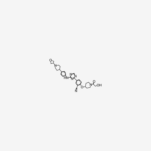 N#Cc1cc(-c2ncnc(Nc3ccc(C4CCN(C5COC5)CC4)cc3)n2)ccc1OC1CCN(C(=O)CO)CC1